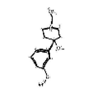 CC(C)Oc1cccc(C2(C)CCN(C)CC2)c1